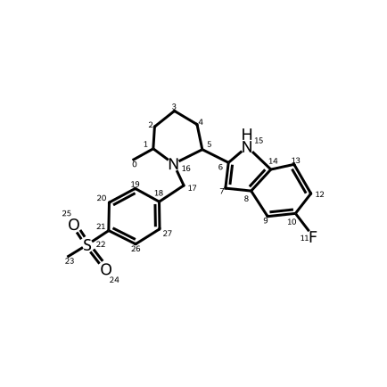 CC1CCCC(c2cc3cc(F)ccc3[nH]2)N1Cc1ccc(S(C)(=O)=O)cc1